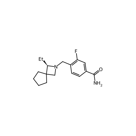 CC[C@H]1N(Cc2ccc(C(N)=O)cc2F)CC12CCCC2